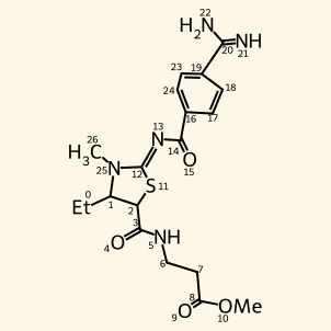 CCC1C(C(=O)NCCC(=O)OC)SC(=NC(=O)c2ccc(C(=N)N)cc2)N1C